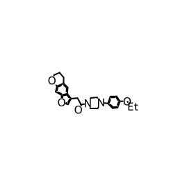 CCOc1ccc(N2CCN(C(=O)Cc3coc4cc5c(cc34)CCCO5)CC2)cc1